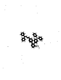 Nc1cccc(-c2ccc(C=CC=C(c3ccccc3)c3ccccc3)cc2)c1-c1ccc(N(c2ccccc2)c2ccccc2)cc1